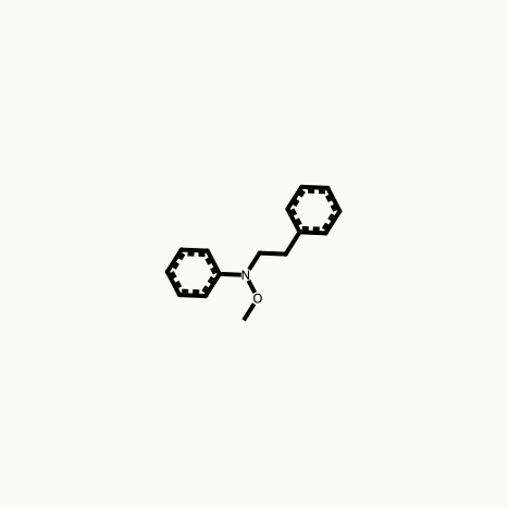 CON(CCc1ccccc1)c1ccccc1